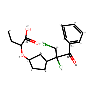 CCC(OC1CCC(C(Cl)(CCl)C(=O)c2ccccc2)C1)C(=O)O